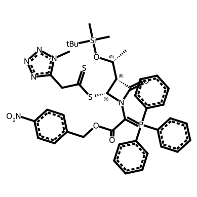 C[C@@H](O[Si](C)(C)C(C)(C)C)[C@@H]1C(=O)N(C(C(=O)OCc2ccc([N+](=O)[O-])cc2)=P(c2ccccc2)(c2ccccc2)c2ccccc2)[C@@H]1SC(=S)Cc1nnnn1C